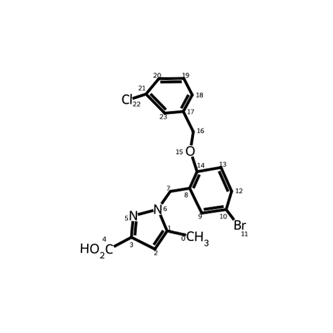 Cc1cc(C(=O)O)nn1Cc1cc(Br)ccc1OCc1cccc(Cl)c1